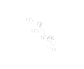 COc1cccc2[nH]c(C(=O)N3CC4(CC4)C[C@H]3C(=O)N[C@@H](C[C@@H]3CCNC3=O)C(N)=O)cc12